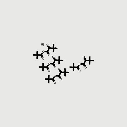 CC(C)(C)C(=O)OC(=O)C(=O)C(C)(C)C.CC(C)(C)C(=O)OC(=O)C(=O)C(C)(C)C.CC(C)(C)C(=O)OC(=O)C(=O)C(C)(C)C.CC(C)(C)C(=O)OC(=O)C(=O)C(C)(C)C.[Hf]